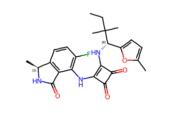 CCC(C)(C)[C@@H](Nc1c(Nc2c(F)ccc3c2C(=O)N[C@H]3C)c(=O)c1=O)c1ccc(C)o1